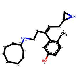 Cc1ccc(O)cc1/C(=C\CC1CN1)CCNC1CCCCCCC1